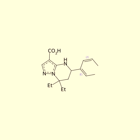 C/C=C\C(=C/C)C1CC(CC)(CC)n2ncc(C(=O)O)c2N1